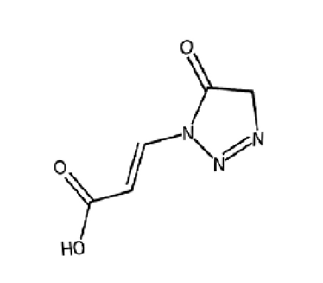 O=C(O)/C=C/N1N=NCC1=O